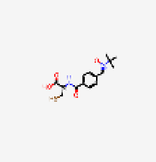 CC(C)(C)/[N+]([O-])=C/c1ccc(C(=O)N[C@@H](CS)C(=O)O)cc1